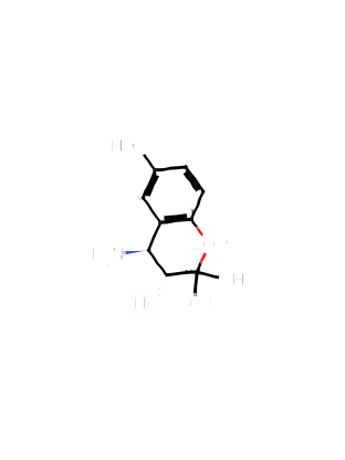 Cc1ccc2c(c1)[C@H](N)[C@@H](O)C(C)(C)O2